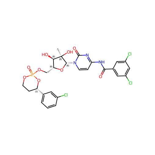 C[C@@]1(O)[C@H](O)[C@@H](COP2(=O)OCC[C@@H](c3cccc(Cl)c3)O2)O[C@H]1n1ccc(NC(=O)c2cc(Cl)cc(Cl)c2)nc1=O